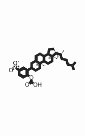 CC(C)CCC[C@@H](C)[C@H]1CCC2C3CC=C4CC(c5cc([N+](=O)[O-])ccc5OC(=O)O)CC[C@]4(C)C3CC[C@@]21C